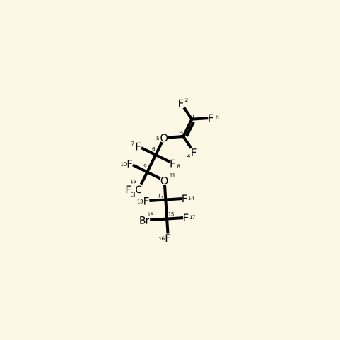 FC(F)=C(F)OC(F)(F)C(F)(OC(F)(F)C(F)(F)Br)C(F)(F)F